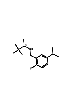 CC(C)c1ccc(F)c(CN[C@H](C)C(C)(C)C)c1